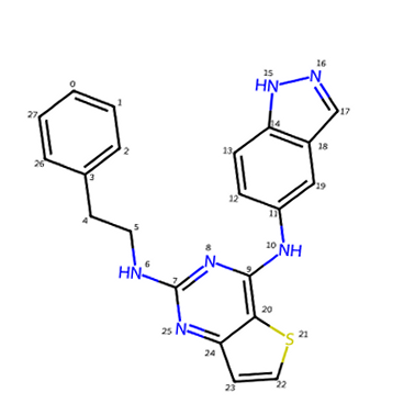 c1ccc(CCNc2nc(Nc3ccc4[nH]ncc4c3)c3sccc3n2)cc1